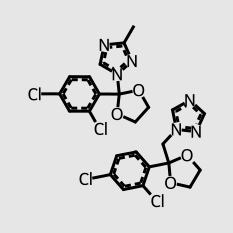 Cc1ncn(C2(c3ccc(Cl)cc3Cl)OCCO2)n1.Clc1ccc(C2(Cn3cncn3)OCCO2)c(Cl)c1